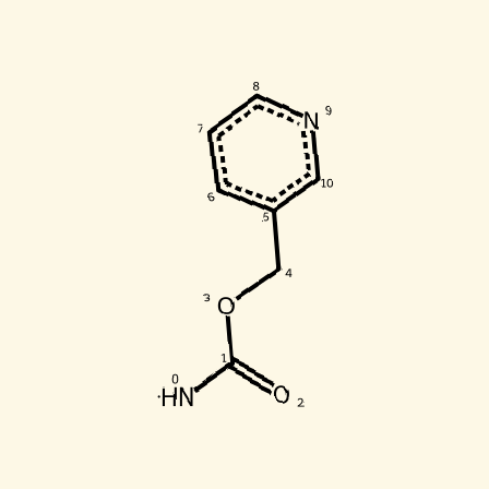 [NH]C(=O)OCc1cccnc1